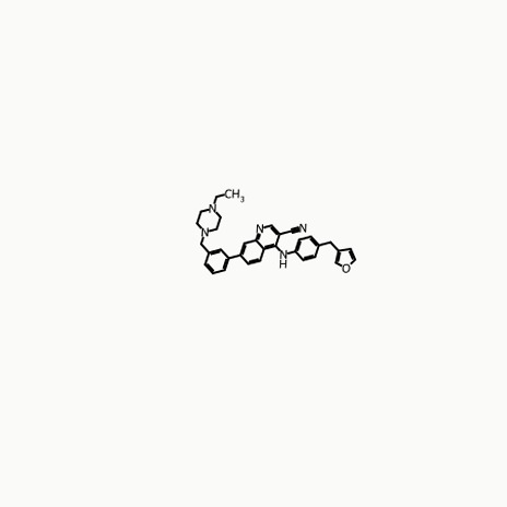 CCN1CCN(Cc2cccc(-c3ccc4c(Nc5ccc(Cc6ccoc6)cc5)c(C#N)cnc4c3)c2)CC1